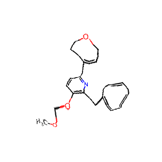 COCOc1ccc(C2=CCOCC2)nc1Cc1ccccc1